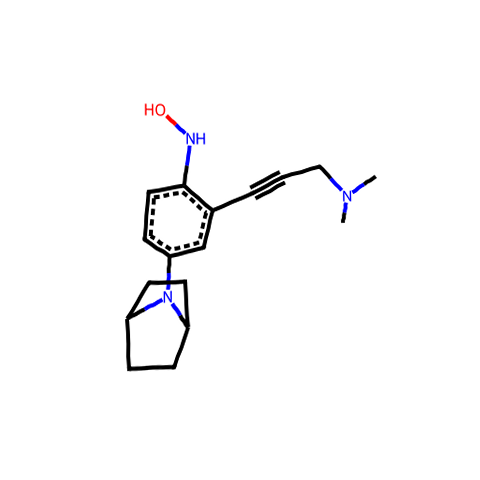 CN(C)CC#Cc1cc(N2C3CCC2CC3)ccc1NO